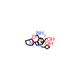 NC(=O)c1ccccc1C1CC2CCC(C1)N2CCN(CC1CCC1)C(=O)C(O)CO